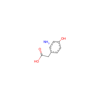 N.O=C(O)Cc1ccc(O)cc1